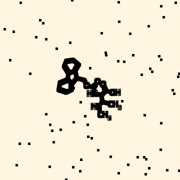 CNC(C)C(NC(=O)OCC1c2ccccc2-c2ccccc21)C(=O)O